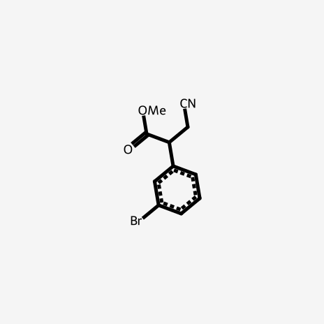 COC(=O)C(CC#N)c1cccc(Br)c1